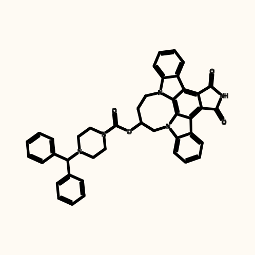 O=C1NC(=O)c2c1c1c3ccccc3n3c1c1c2c2ccccc2n1CC(OC(=O)N1CCN(C(c2ccccc2)c2ccccc2)CC1)CC3